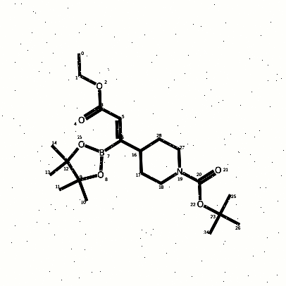 CCOC(=O)/C=C(\B1OC(C)(C)C(C)(C)O1)C1CCN(C(=O)OC(C)(C)C)CC1